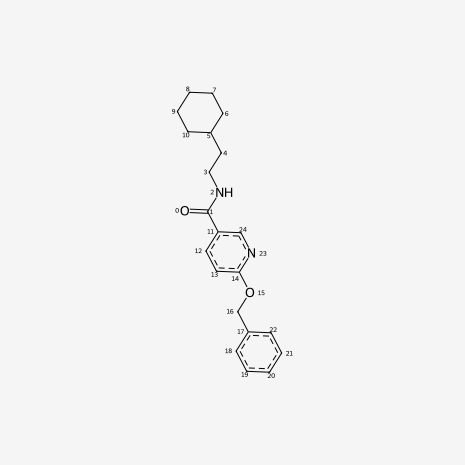 O=C(NCCC1CCCCC1)c1ccc(OCc2ccccc2)nc1